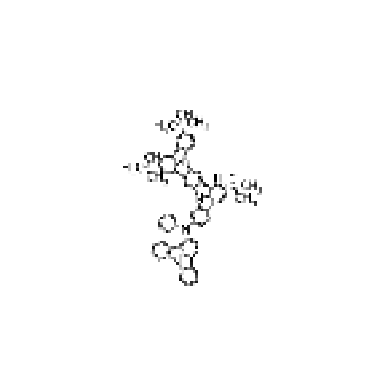 CC(C)(C)c1ccc2c(c1)c1cc(C(C)(C)C)cc3c4cc5c(cc4n2c13)c1cc(C(C)(C)C)cc2c3ccc(N(c4ccccc4)c4ccc6c7ccccc7n7c8ccccc8c4c67)cc3n5c21